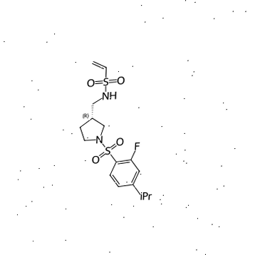 C=CS(=O)(=O)NC[C@H]1CCN(S(=O)(=O)c2ccc(C(C)C)cc2F)C1